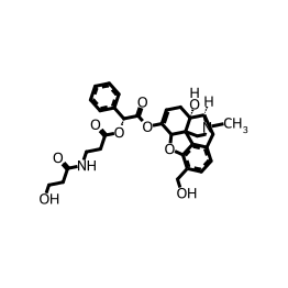 CN1CCC23c4c5ccc(CO)c4OC2C(OC(=O)[C@H](OC(=O)CCNC(=O)CCO)c2ccccc2)=CC[C@@]3(O)[C@H]1C5